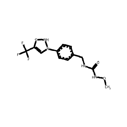 CONC(=O)NCc1ccc(N2C=C(C(F)(F)F)ON2)cc1